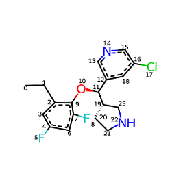 CCc1cc(F)cc(F)c1O[C@@H](c1cncc(Cl)c1)[C@H]1CCNC1